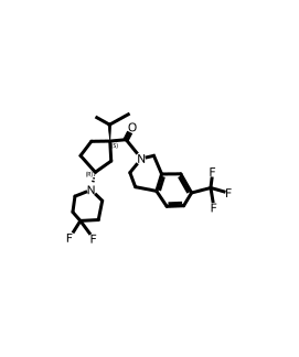 CC(C)[C@]1(C(=O)N2CCc3ccc(C(F)(F)F)cc3C2)CC[C@@H](N2CCC(F)(F)CC2)C1